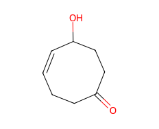 O=C1CC/C=C\C(O)CC1